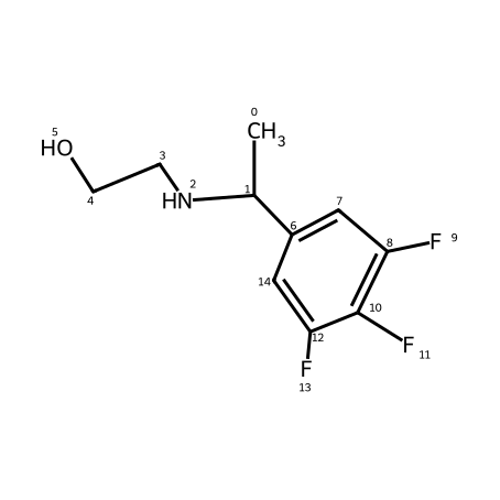 CC(NCCO)c1cc(F)c(F)c(F)c1